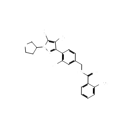 COc1ccccc1C(=O)NCc1ccc(-c2nn(C3CCOC3)c(N)c2C#N)c(F)c1